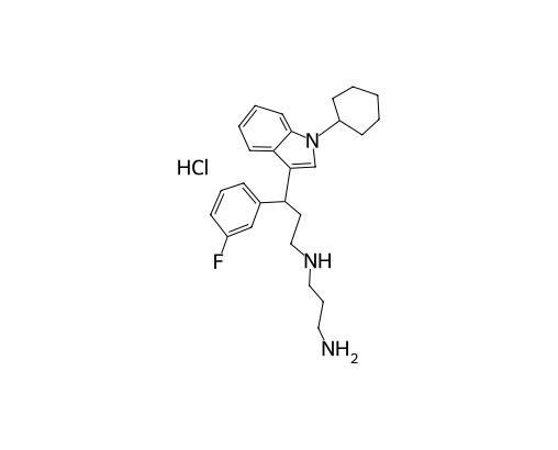 Cl.NCCCNCCC(c1cccc(F)c1)c1cn(C2CCCCC2)c2ccccc12